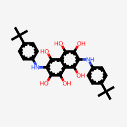 CC(C)(C)c1ccc(Nc2c(O)c(O)c3c(O)c(Nc4ccc(C(C)(C)C)cc4)c(O)c(O)c3c2O)cc1